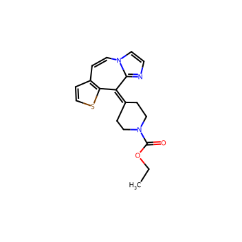 CCOC(=O)N1CCC(=C2c3sccc3C=Cn3ccnc32)CC1